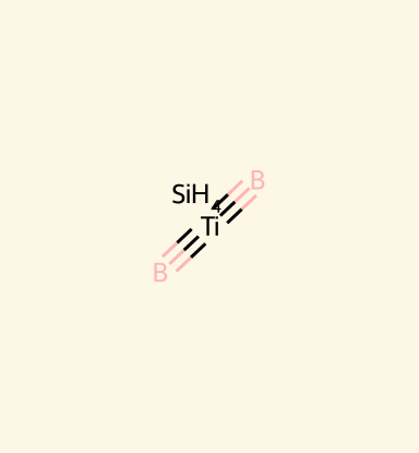 [B]#[Ti]#[B].[SiH4]